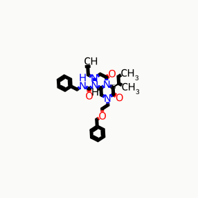 C#CCN1CC(=O)N2[C@@H](C(C)CC)C(=O)N(CCOCc3ccccc3)C[C@@H]2N1C(=O)NCc1ccccc1